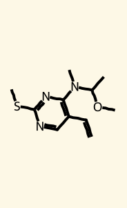 C=Cc1cnc(SC)nc1N(C)C(C)OC